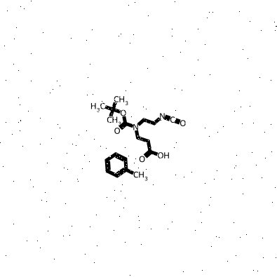 CC(C)(C)OC(=O)N(CCN=C=O)CCC(=O)O.Cc1ccccc1